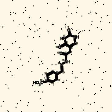 O=C(Cc1n[nH]c(=O)[nH]c1=O)NN=Cc1ccc(C(=O)O)cc1